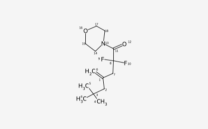 C=C(CC(C)(C)C)CC(F)(F)C(=O)N1CCOCC1